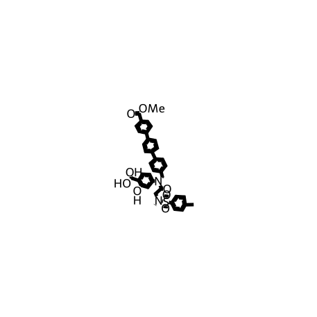 COC(=O)c1ccc(-c2ccc(-c3ccc(CN(C(=O)CN(C)S(=O)(=O)c4ccc(C)cc4)c4ccc(C(O)O)c(O)c4)cc3)cc2)cc1